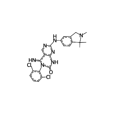 CN1Cc2cc(Nc3ncc4c(=N)n(-c5c(Cl)cccc5Cl)c(=O)[nH]c4n3)ccc2C1(C)C